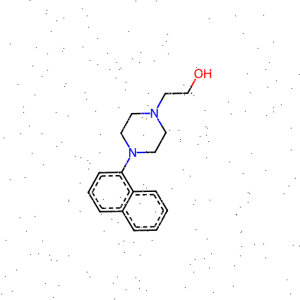 O[CH]CN1CCN(c2cccc3ccccc23)CC1